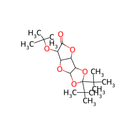 CC(C)(C)OC1C(=O)OC2C3OC(C(C)(C)C)(C(C)(C)C)OC3OC12